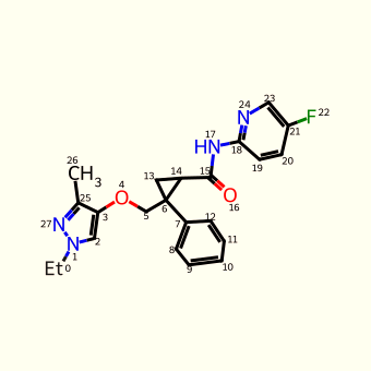 CCn1cc(OCC2(c3ccccc3)CC2C(=O)Nc2ccc(F)cn2)c(C)n1